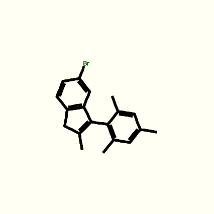 CC1=C(c2c(C)cc(C)cc2C)c2cc(Br)ccc2C1